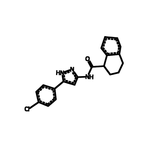 O=C(Nc1cc(-c2ccc(Cl)cc2)[nH]n1)C1CCCc2ccccc21